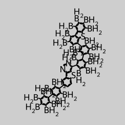 Bc1c(B)c(B)c(-c2c(B)c(B)c(-c3ccc4sc5c(-c6c(B)c(B)c(B)c(-c7c(B)c(B)c(B)c(-c8c(B)c(B)c(B)c9c8sc8c(B)c(B)c(B)c(B)c89)c7B)c6B)ncnc5c4c3)c(B)c2B)c(B)c1B